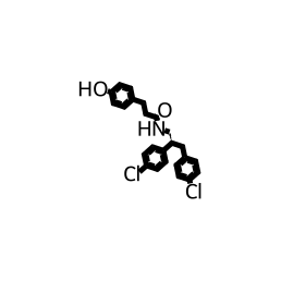 O=C(CCc1ccc(O)cc1)NC[C@H](Cc1ccc(Cl)cc1)c1ccc(Cl)cc1